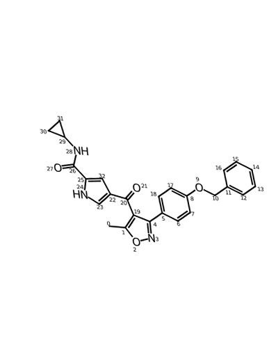 Cc1onc(-c2ccc(OCc3ccccc3)cc2)c1C(=O)c1c[nH]c(C(=O)NC2CC2)c1